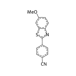 COc1ccc2nc(-c3ccc(C#N)cc3)sc2c1